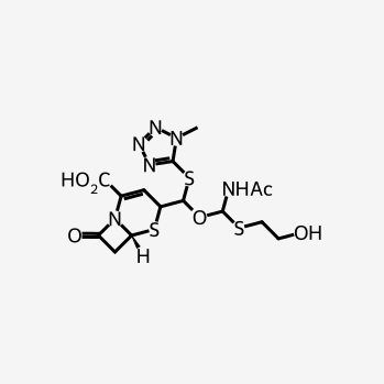 CC(=O)NC(OC(Sc1nnnn1C)C1C=C(C(=O)O)N2C(=O)C[C@H]2S1)SCCO